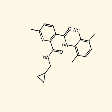 Cc1ccc(C(=O)Nc2c(C)ccc(C)c2C#N)c(C(=O)NCC2CC2)n1